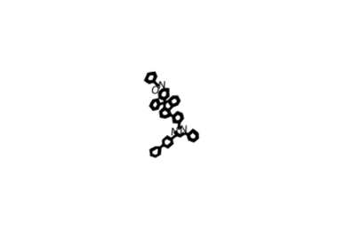 C1=CC(C2C=CC(c3cc(-c4ccccc4)nc(-c4cccc(-c5cccc6c5-c5ccccc5C6(c5ccccc5)c5ccc6nc(-c7ccccc7)oc6c5)c4)n3)=CC2)=CCC1